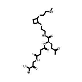 [3H]C(P)C(=O)CNC(=O)CCC(=O)N[C@H](CCC(C)=O)C(=O)NCCSC1CCC1SCCNC